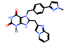 CCn1c2c(c(=O)[nH]c1=O)N(Cc1ccc(-c3ccn(C)n3)cc1)C(Cc1cn3ccccc3n1)N2